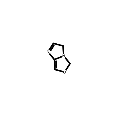 C1=NC2=COCN2C1